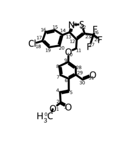 COC(=O)/C=C/c1ccc(OCc2c(-c3ccc(Cl)cc3)nsc2C(F)(F)F)cc1C=O